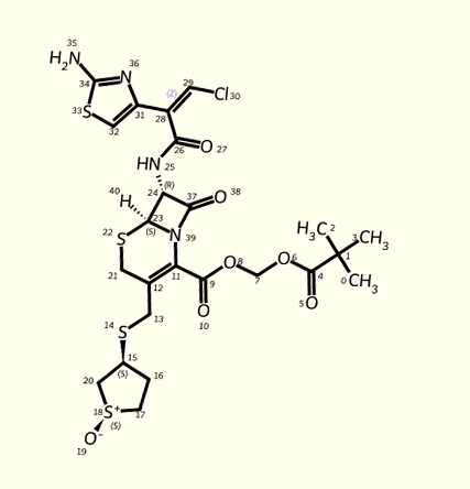 CC(C)(C)C(=O)OCOC(=O)C1=C(CS[C@H]2CC[S@@+]([O-])C2)CS[C@H]2[C@H](NC(=O)/C(=C\Cl)c3csc(N)n3)C(=O)N12